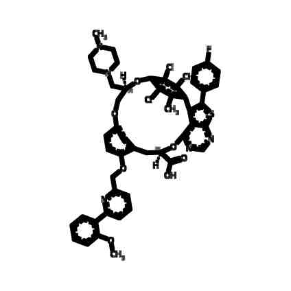 COc1ccccc1-c1cccc(COc2ccc3cc2C[C@H](C(=O)O)Oc2ncnc4sc(-c5ccc(F)cc5)c(c24)-c2c(C)c(Cl)c(c(Cl)c2C)O[C@H](CN2CCN(C)CC2)CO3)n1